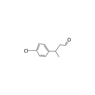 CC(CC=O)c1ccc(Cl)cc1